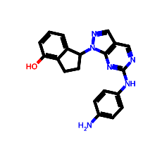 Nc1ccc(Nc2ncc3cnn(C4CCc5c(O)cccc54)c3n2)cc1